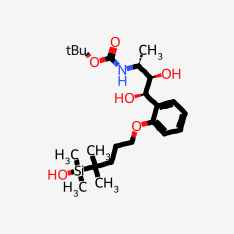 C[C@@H](NC(=O)OC(C)(C)C)[C@@H](O)[C@H](O)c1ccccc1OCCCC(C)(C)[Si](C)(C)O